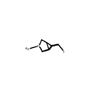 CC(=O)N1CC2C(CF)C2C1